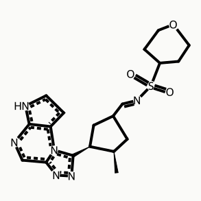 C[C@@H]1CC(/C=N/S(=O)(=O)C2CCOCC2)C[C@@H]1c1nnc2cnc3[nH]ccc3n12